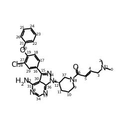 CN(C)C/C=C/C(=O)N1CCC[C@@H](n2nc(-c3ccc(Oc4ccccc4)c(Cl)c3)c3c(N)ncnc32)C1